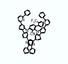 N#Cc1c(-n2c3cc(-c4cccc(-c5ccccc5)n4)ccc3c3ccc(-c4cccc(-c5ccccc5)n4)cc32)ccc(-c2ccccc2C(F)(F)F)c1-n1c2cc(-c3cccc(-c4ccccc4)n3)ccc2c2ccc(-c3cccc(-c4ccccc4)n3)cc21